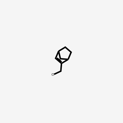 ClCC1=CC2CCC1C2